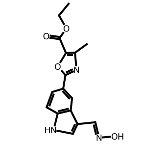 CCOC(=O)c1oc(-c2ccc3[nH]cc(C=NO)c3c2)nc1C